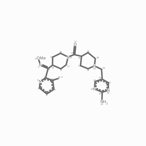 CON=C(c1ncccc1F)C1CCN(C(=O)C2CCN(Cc3cnc(N)nc3)CC2)CC1